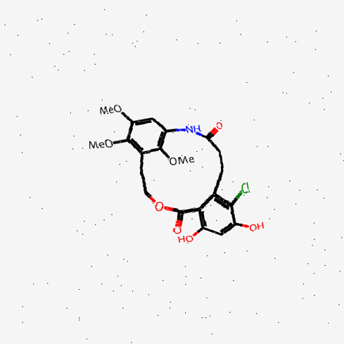 COc1cc2c(OC)c(c1OC)CCOC(=O)c1c(O)cc(O)c(Cl)c1CCC(=O)N2